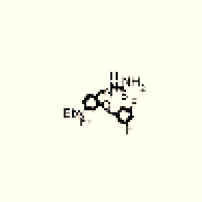 CCN(CC)c1ccc(/C=N/NC(N)=S)c(OCc2cc(F)cc(F)c2)c1